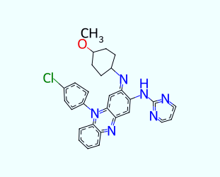 COC1CCC(/N=c2\cc3n(-c4ccc(Cl)cc4)c4ccccc4nc-3cc2Nc2ncccn2)CC1